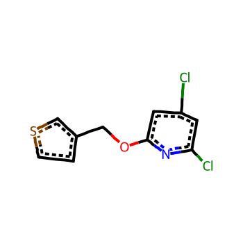 Clc1cc(Cl)nc(OCc2ccsc2)c1